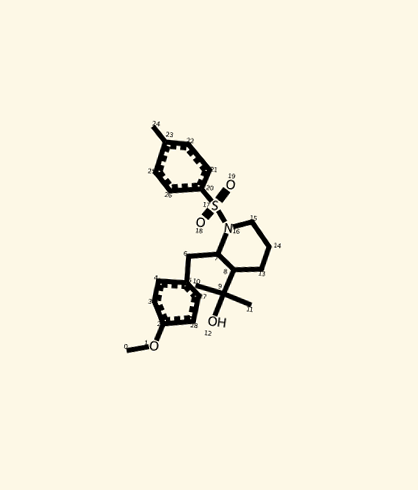 COc1ccc(CC2C(C(C)(C)O)CCCN2S(=O)(=O)c2ccc(C)cc2)cc1